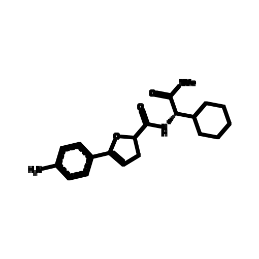 CNC(=O)[C@@H](NC(=O)C1CC=C(c2ccc(N)cc2)O1)C1CCCCC1